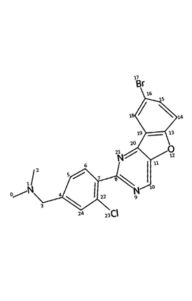 CN(C)Cc1ccc(-c2ncc3oc4ccc(Br)cc4c3n2)c(Cl)c1